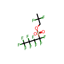 CC(F)(F)COS(=O)(=O)C(F)(F)C(F)(F)C(F)(F)C(F)(F)F